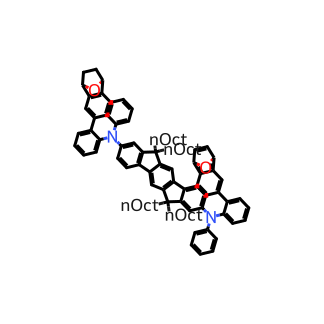 CCCCCCCCC1(CCCCCCCC)c2cc(N(c3ccccc3)c3ccccc3-c3ccc4c(c3)C3CCC4O3)ccc2-c2cc3c(cc21)-c1ccc(N(c2ccccc2)c2ccccc2-c2ccc4c5ccc(o5)c4c2)cc1C3(CCCCCCCC)CCCCCCCC